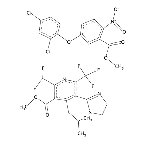 COC(=O)c1c(C(F)F)nc(C(F)(F)F)c(C2=NCCS2)c1CC(C)C.COC(=O)c1cc(Oc2ccc(Cl)cc2Cl)ccc1[N+](=O)[O-]